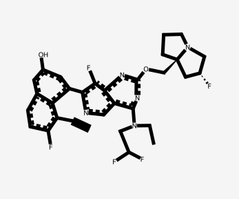 C#Cc1c(F)ccc2cc(O)cc(-c3ncc4c(N(CC)CC(F)F)nc(OC[C@@]56CCCN5C[C@H](F)C6)nc4c3F)c12